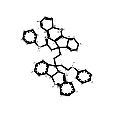 O=C(CC1(CCC2(CC(=O)Oc3ccccc3)c3ccccc3C3N=c4ccccc4=CC32)C2=CCCC=C2C2=C1C=C1C=CC=CC1N2)Oc1ccccc1